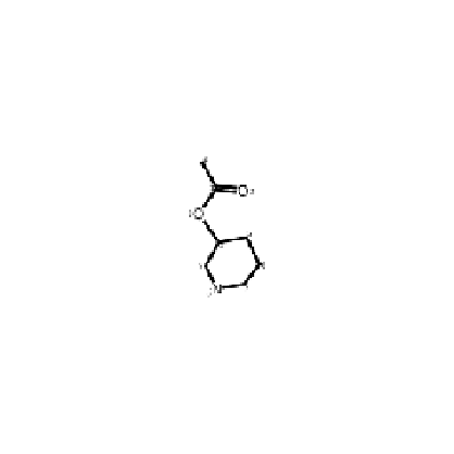 CC(=O)OC1CCC[N]C1